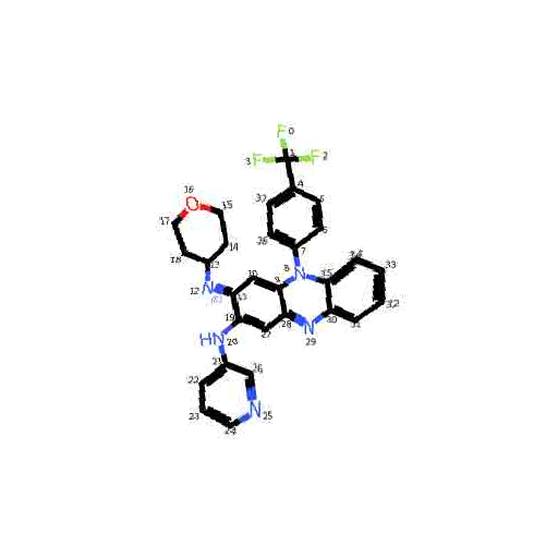 FC(F)(F)c1ccc(-n2c3c/c(=N\C4CCOCC4)c(Nc4cccnc4)cc-3nc3ccccc32)cc1